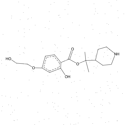 CC(C)(OC(=O)c1ccc(OCCO)cc1O)C1CCNCC1